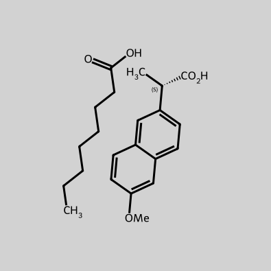 CCCCCCCC(=O)O.COc1ccc2cc([C@H](C)C(=O)O)ccc2c1